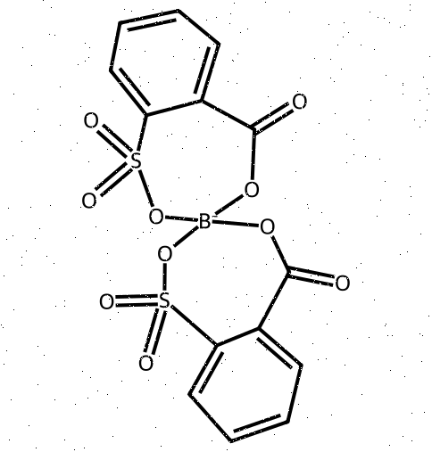 O=C1O[B-]2(OC(=O)c3ccccc3S(=O)(=O)O2)OS(=O)(=O)c2ccccc21